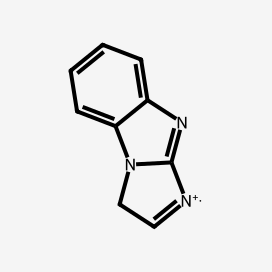 C1=[N+]c2nc3ccccc3n2C1